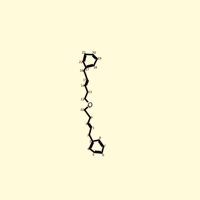 C(=CCc1ccccc1)CCOCCC=CCc1ccccc1